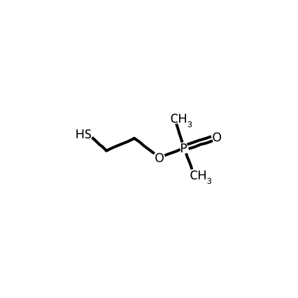 CP(C)(=O)OCCS